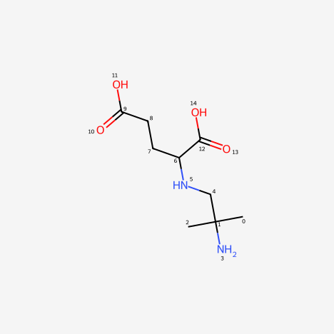 CC(C)(N)CNC(CCC(=O)O)C(=O)O